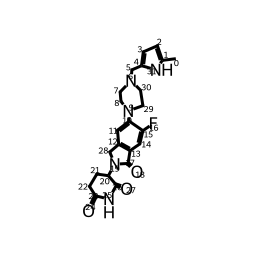 Cc1ccc(CN2CCN(c3cc4c(cc3F)C(=O)N(C3CCC(=O)NC3=O)C4)CC2)[nH]1